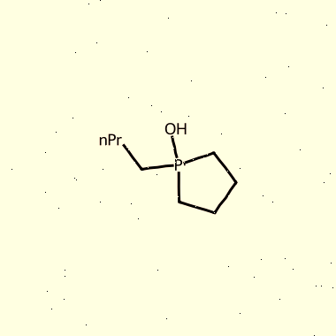 CCCC[P]1(O)CCCC1